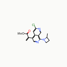 C=C(C(=O)OC)c1cnc(N2CCC2C)c2cnc(Cl)cc12